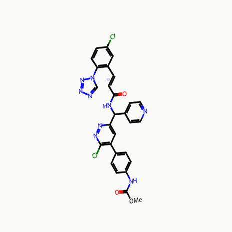 COC(=O)Nc1ccc(-c2cc(C(NC(=O)/C=C/c3cc(Cl)ccc3-n3cnnn3)c3ccncc3)nnc2Cl)cc1